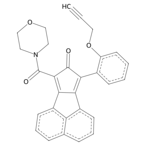 C#CCOc1ccccc1C1=C2C(=C(C(=O)N3CCOCC3)C1=O)c1cccc3cccc2c13